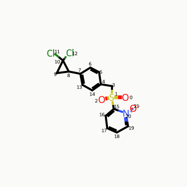 O=S(=O)(Cc1ccc(C2CC2(Cl)Cl)cc1)c1cccc[n+]1[O-]